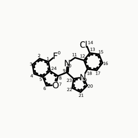 Fc1cccc2coc(C3=NCc4c(Cl)cccc4-n4cccc43)c12